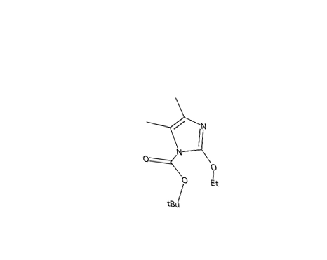 CCOc1nc(C)c(C)n1C(=O)OC(C)(C)C